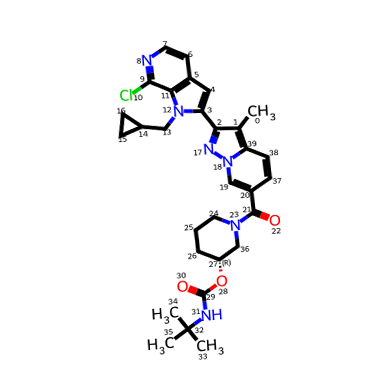 Cc1c(-c2cc3ccnc(Cl)c3n2CC2CC2)nn2cc(C(=O)N3CCC[C@@H](OC(=O)NC(C)(C)C)C3)ccc12